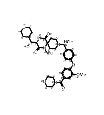 CCCCN1C(=O)[C@@H]([C@H](O)C2CCOCC2)NC(=O)C12CCN(Cc1ccc(Oc3ccc(C(=O)N4CCOCC4)cc3OC)cc1)CC2.Cl